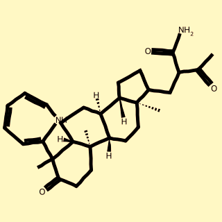 CC(=O)C(CC1CC[C@H]2[C@@H]3CC[C@H]4C(C)(C5=CC=CC=CN5)C(=O)CC[C@]4(C)[C@H]3CC[C@]12C)C(N)=O